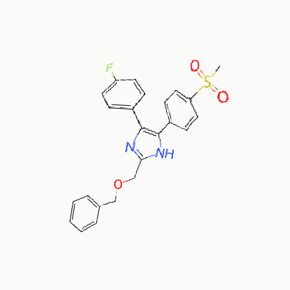 CS(=O)(=O)c1ccc(-c2[nH]c(COCc3ccccc3)nc2-c2ccc(F)cc2)cc1